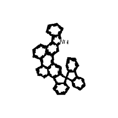 c1ccc2c(c1)-c1ccccc1C21c2ccccc2-c2c1cc1c3cc4[nH]c5ccccc5c4c4cccc(c5cccc2c51)c34